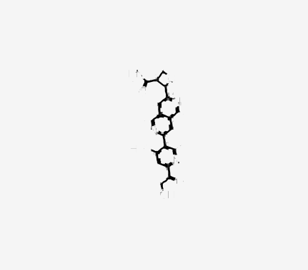 CCC(=O)c1cc(C)c(-c2cc3cnc(C4OCC4C(N)=O)cc3cn2)cn1